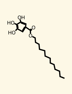 CCCCCCCCCCCCCOC(=O)c1cc(O)c(O)c(O)c1